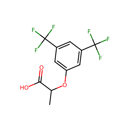 CC(Oc1cc(C(F)(F)F)cc(C(F)(F)F)c1)C(=O)O